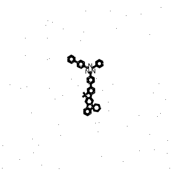 CC1(C)C2=CC3c4ccccc4C4(CCCCC4)C3C=C2c2ccc(-c3ccc(-c4nc(-c5ccccc5)nc(-c5ccc(-c6ccccc6)cc5)n4)cc3)cc21